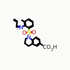 C=C/C=N\c1c(C)cccc1S(=O)(=O)N1CCCc2cc(C(=O)O)ccc21